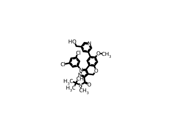 COc1cc2c(cc1-c1cncc(CO)c1)-c1c(c(C(=O)N(C)C(C)(C)C)nn1-c1cc(Cl)cc(Cl)c1)CO2